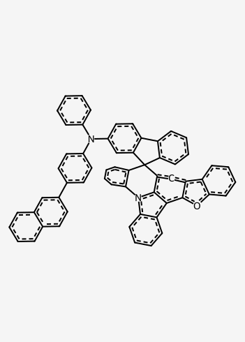 c1ccc(N(c2ccc(-c3ccc4ccccc4c3)cc2)c2ccc3c(c2)C2(c4ccccc4-3)c3ccccc3-n3c4ccccc4c4c5oc6ccccc6c5cc2c43)cc1